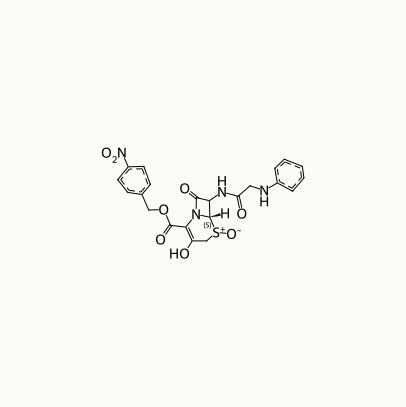 O=C(CNc1ccccc1)NC1C(=O)N2C(C(=O)OCc3ccc([N+](=O)[O-])cc3)=C(O)C[S+]([O-])[C@@H]12